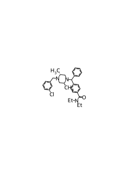 CCN(CC)C(=O)c1ccc(C(c2ccccc2)N2C[C@@H](C)N(Cc3cccc(Cl)c3)C[C@@H]2C)cc1